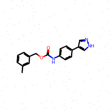 Cc1cccc(COC(=O)Nc2ccc(-c3cn[nH]c3)cc2)c1